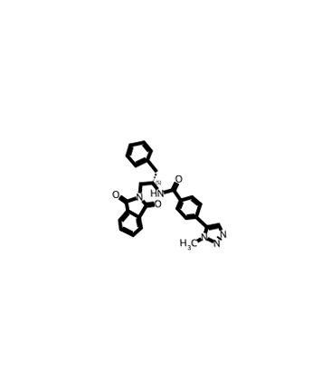 Cn1nncc1-c1ccc(C(=O)N[C@@H](Cc2ccccc2)CN2C(=O)c3ccccc3C2=O)cc1